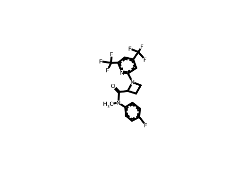 CN(C(=O)C1CCN1c1cc(C(F)(F)F)cc(C(F)(F)F)n1)c1ccc(F)cc1